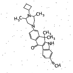 C#Cc1ccc2c3c([nH]c2c1)C(C)(C)c1cc(N2CC(C)N(C4CCC4)C(C)C2)ccc1C3=O